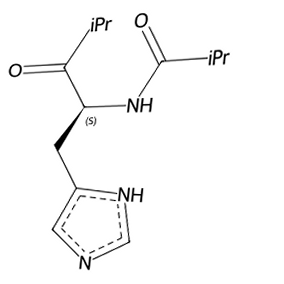 CC(C)C(=O)N[C@@H](Cc1cnc[nH]1)C(=O)C(C)C